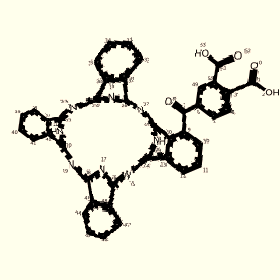 O=C(O)c1ccc(C(=O)c2cccc3c4nc5nc(nc6[nH]c(nc7nc(nc([nH]4)c23)-c2ccccc2-7)c2ccccc62)-c2ccccc2-5)cc1C(=O)O